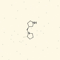 C[C@H]1CCCN1C[C@H]1CCNC1